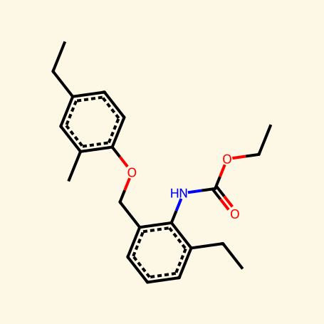 CCOC(=O)Nc1c(CC)cccc1COc1ccc(CC)cc1C